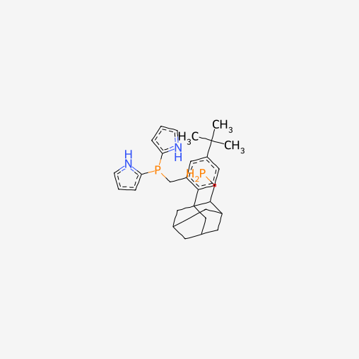 CC(C)(C)c1ccc(C23CC4CC(CC(C4)C2CP)C3)c(CP(c2ccc[nH]2)c2ccc[nH]2)c1